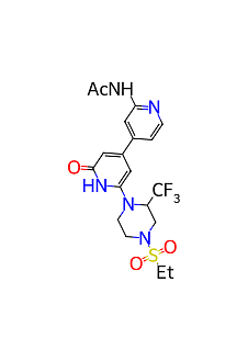 CCS(=O)(=O)N1CCN(c2cc(-c3ccnc(NC(C)=O)c3)cc(=O)[nH]2)C(C(F)(F)F)C1